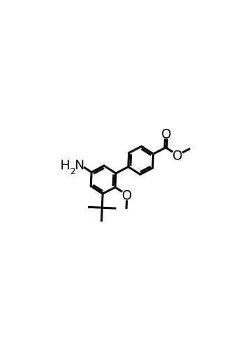 COC(=O)c1ccc(-c2cc(N)cc(C(C)(C)C)c2OC)cc1